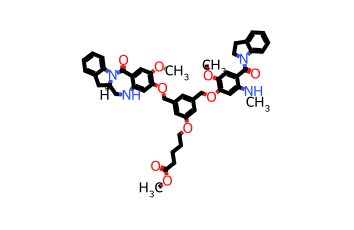 CNc1cc(OCc2cc(COc3cc4c(cc3OC)C(=O)N3c5ccccc5C[C@H]3CN4)cc(OCCCCC(=O)OC)c2)c(OC)cc1C(=O)N1CCc2ccccc21